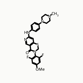 COc1cc(F)c(N2CSc3cc(Nc4ccc(N5CCN(C)CC5)cc4)ncc3C2=O)c(F)c1